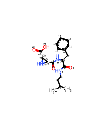 CC(C)CCNC(=O)[C@H](Cc1ccccc1)NC(=O)[C@H]1N[C@@H]1C(=O)O